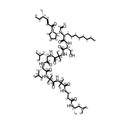 CCCCCCCC[C@@H](C(=O)N[C@@H](CO)C(=O)NC(C)(C)C(=O)N[C@@H](CC(C)C)C(=O)N[C@@H](CC(C)C)C(=O)NC(C)(C)C(=O)NC(C)(C)C(=O)NCCC(=O)N[C@@H](C)CN(C)C)N(C=O)[C@@H]1CCCN1C(=O)/C=C/[C@@H](C)CC